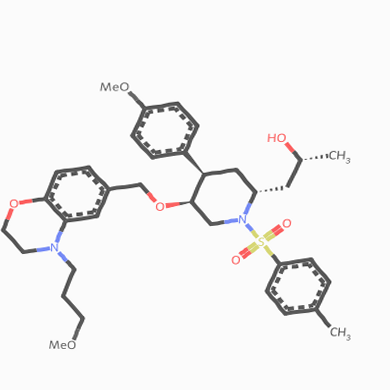 COCCCN1CCOc2ccc(CO[C@@H]3CN(S(=O)(=O)c4ccc(C)cc4)[C@@H](C[C@@H](C)O)C[C@@H]3c3ccc(OC)cc3)cc21